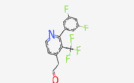 O=CCc1ccnc(-c2cc(F)cc(F)c2)c1C(F)(F)F